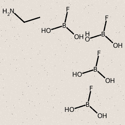 CCN.OB(O)F.OB(O)F.OB(O)F.OB(O)F